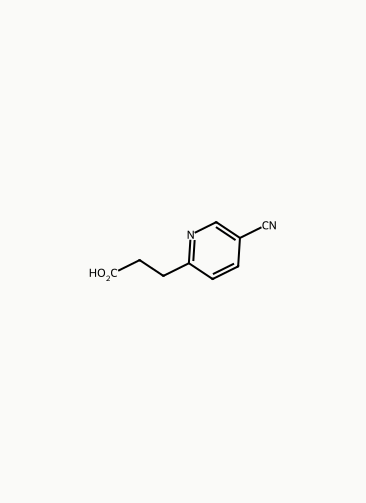 N#Cc1ccc(CCC(=O)O)nc1